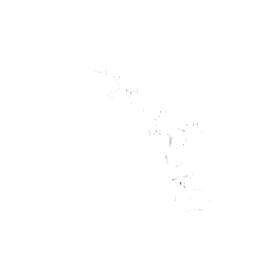 CC(C)(C)OC(=O)NCCCC(=O)Nc1cccc2cc(S(=O)(=O)N3CCCC4CCCC3C4)ccc12.[CH2]